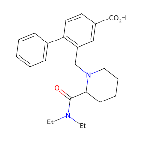 CCN(CC)C(=O)C1CCCCN1Cc1cc(C(=O)O)ccc1-c1ccccc1